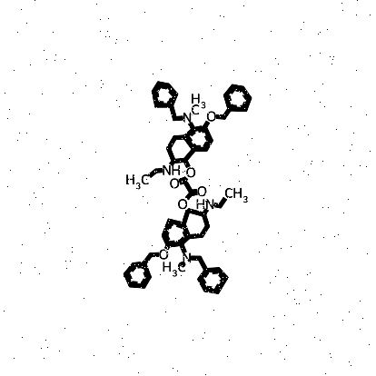 CCNC1CCc2c(ccc(OCc3ccccc3)c2N(C)Cc2ccccc2)C1OC(=O)C(=O)OC1c2ccc(OCc3ccccc3)c(N(C)Cc3ccccc3)c2CCC1NCC